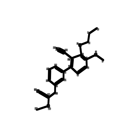 CCCOc1c(OC)ccc(-c2cccc(CC(=O)OC)c2)c1C#N